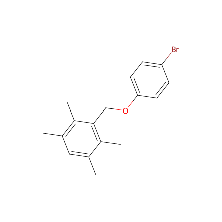 Cc1cc(C)c(C)c(COc2ccc(Br)cc2)c1C